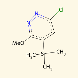 COc1nnc(Cl)cc1[Si](C)(C)C